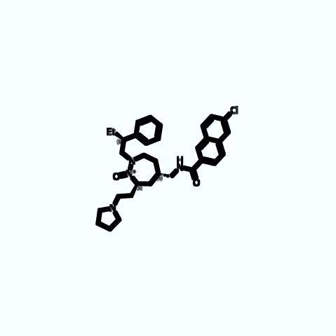 CC[C@H](CN1CC[C@H](CNC(=O)c2ccc3cc(Cl)ccc3c2)C[C@@H](CCN2CCCC2)[N+]1=O)c1ccccc1